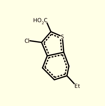 CCc1ccc2c(Cl)c(C(=O)O)sc2c1